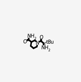 CC(C)(C)[C@H](N)C(=O)N1CCCC(C(N)=O)C1